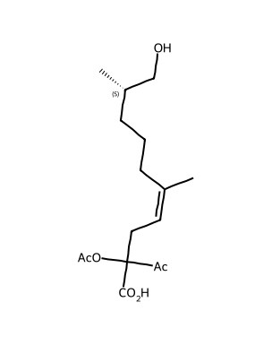 CC(=O)OC(CC=C(C)CCC[C@H](C)CO)(C(C)=O)C(=O)O